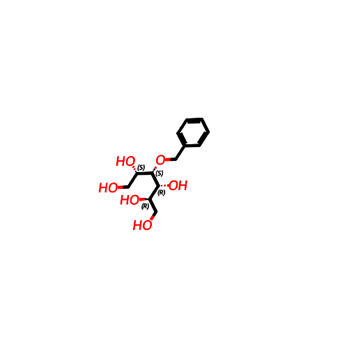 OC[C@@H](O)[C@@H](O)[C@@H](OCc1ccccc1)[C@@H](O)CO